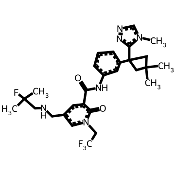 Cn1cnnc1C1(c2cccc(NC(=O)c3cc(CNCC(C)(C)F)cn(CC(F)(F)F)c3=O)c2)CC(C)(C)C1